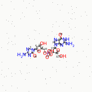 Nc1ncn([C@H]2C[C@@H](O)[C@@H](COP(=O)(O)OC3C[C@H](n4cnc5c(=O)[nH]c(N)nc54)O[C@@H]3CO)O2)c(=O)n1